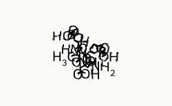 CC(NC(=O)c1ccc2c(c1)B(O)OC2)C(NC(=O)c1ccc2c(c1)B(O)OC2)C(=O)NC(CC(N)=O)CC(=O)O